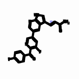 NC(=O)/C=C/c1c[nH]c2ncc(-c3cnc(C(=O)c4ccc(F)cc4)c(F)c3)cc12